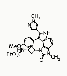 CCOC(=O)NC1CC(n2c(=O)n(C)c3cnc4[nH]c(-c5cnn(C)c5)c(-c5ccc(OC)cc5)c4c32)C1